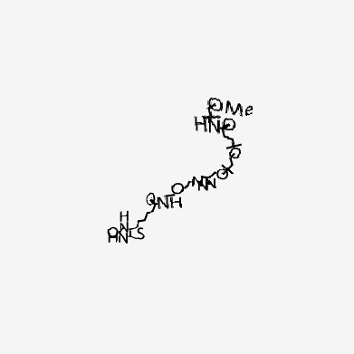 COCC(C)(C)NC(=O)CCC(C)(C)OCCC(C)(C)OCc1cn(CCOCCNC(=O)CCCCC2SCC3NC(=O)NC32)nn1